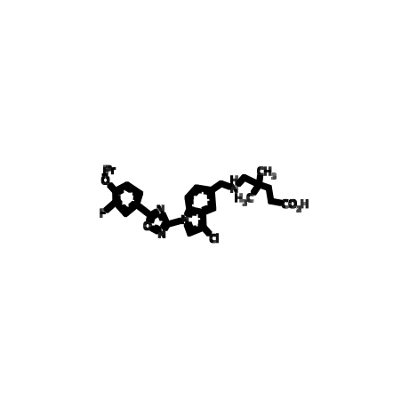 CC(C)Oc1ccc(-c2nc(-n3cc(Cl)c4cc(CNCC(C)(C)CCC(=O)O)ccc43)no2)cc1F